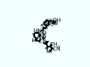 Cc1c(C#N)cncc1C1CN(C(=O)[C@@H]2CC[C@@H]3CCC[C@H](NC(=O)c4cc5cc(CP(=O)(O)O)ccc5s4)C(=O)N32)C1